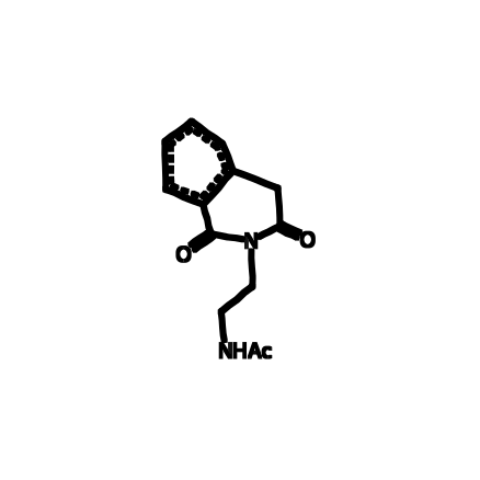 CC(=O)NCCN1C(=O)Cc2ccccc2C1=O